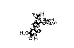 CCP(=O)(O)O[C@@H]1C[C@H](C2C=C(C)C(=O)NC2=O)OC1COP(=O)(O)OC